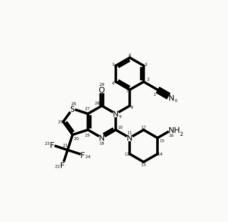 N#Cc1ccccc1Cn1c(N2CCCC(N)C2)nc2c(C(F)(F)F)csc2c1=O